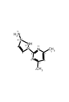 Cc1cc(C)nc(N2C=CN(N)N2)n1